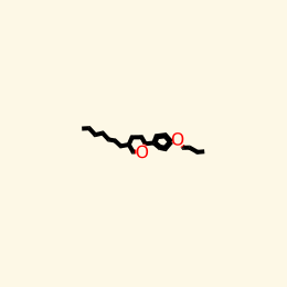 CCCCCCCC1CCC(c2ccc(OCCCC)cc2)OC1